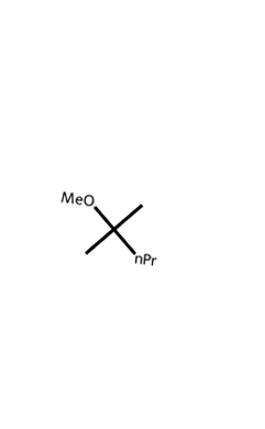 [CH2]OC(C)(C)CCC